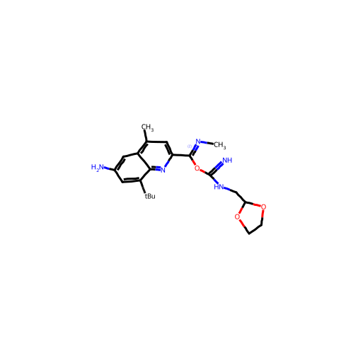 C/N=C(\OC(=N)NCC1OCCO1)c1cc(C)c2cc(N)cc(C(C)(C)C)c2n1